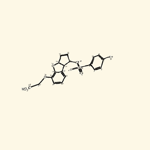 CCc1ccc(S(=O)(=O)OC2CCC3Oc4c(OCC(=O)O)cccc4C32)cc1